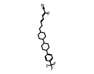 N#CC(F)=CC=CCCC1CCC(C2CCC(c3ccc(C(F)(F)F)cc3)CC2)CC1